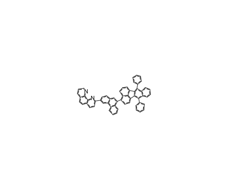 c1ccc(-c2c3c(c(-c4ccccc4)c4ccccc24)-c2ccc(-c4cc5ccc(-c6ccc7ccc8cccnc8c7n6)cc5c5ccccc45)c4cccc-3c24)cc1